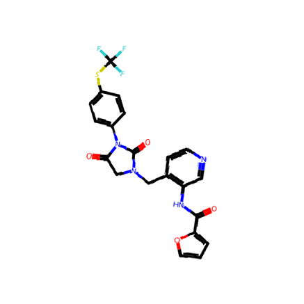 O=C(Nc1cnccc1CN1CC(=O)N(c2ccc(SC(F)(F)F)cc2)C1=O)c1ccco1